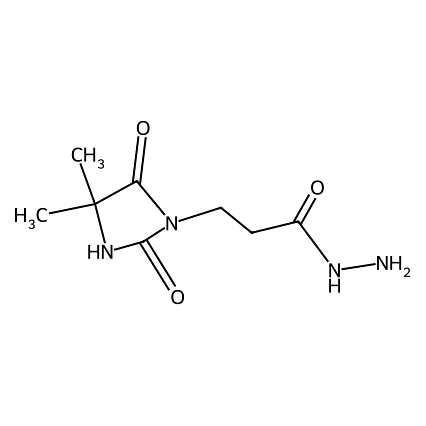 CC1(C)NC(=O)N(CCC(=O)NN)C1=O